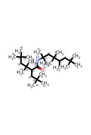 CC(CC(C)(C)C)C(C)(C)CC(C)(C)NC(=O)C(CC(C)(C)C)C(C)(C)CC(C)(C)C